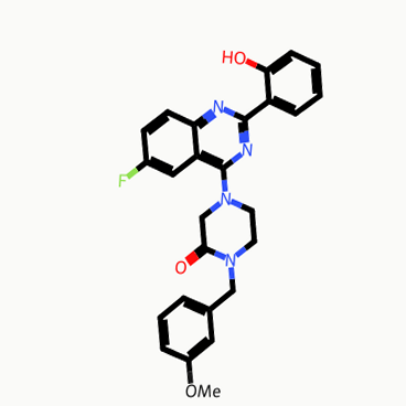 COc1cccc(CN2CCN(c3nc(-c4ccccc4O)nc4ccc(F)cc34)CC2=O)c1